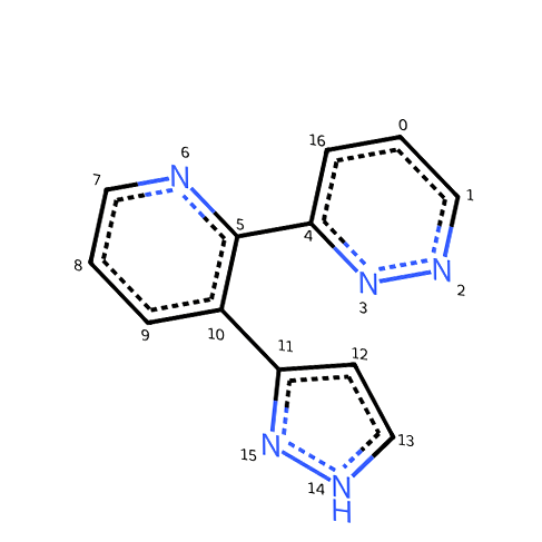 c1cnnc(-c2ncccc2-c2cc[nH]n2)c1